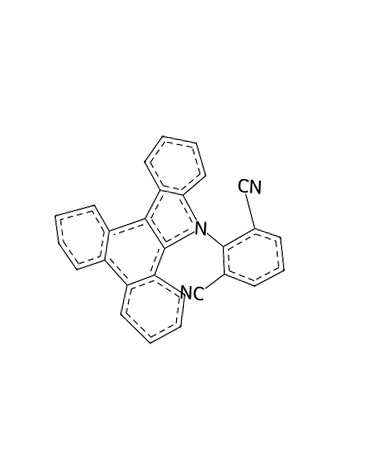 N#Cc1cccc(C#N)c1-n1c2ccccc2c2c3ccccc3c3ccccc3c21